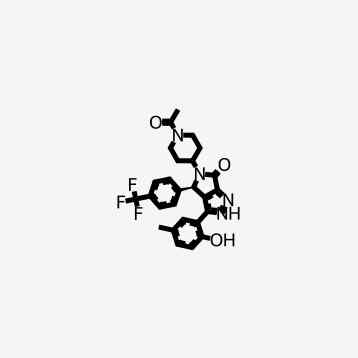 CC(=O)N1CCC(N2C(=O)c3n[nH]c(-c4cc(C)ccc4O)c3[C@H]2c2ccc(C(F)(F)F)cc2)CC1